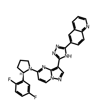 Fc1ccc(F)c([C@H]2CCCN2c2ccn3ncc(-c4nnc(-c5ccc6ncccc6c5)[nH]4)c3n2)c1